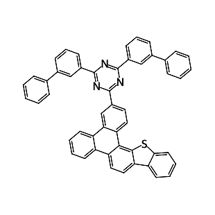 c1ccc(-c2cccc(-c3nc(-c4cccc(-c5ccccc5)c4)nc(-c4ccc5c(c4)c4ccccc4c4ccc6c7ccccc7sc6c45)n3)c2)cc1